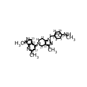 CNC12CCC(Cn3nc(C)c4c3CCN(c3cc(C)nc5c3cnn5C)C4)(CC1)CC2